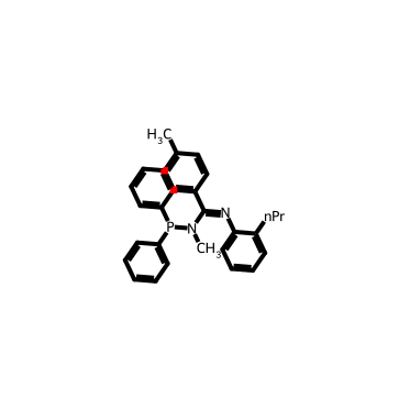 CCCc1ccccc1N=C(c1ccc(C)cc1)N(C)P(c1ccccc1)c1ccccc1